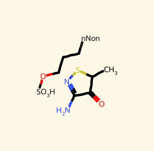 CC1SN=C(N)C1=O.CCCCCCCCCCCCOS(=O)(=O)O